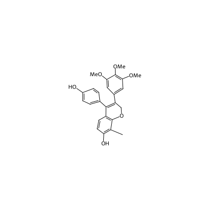 COc1cc(C2=C(c3ccc(O)cc3)c3ccc(O)c(C)c3OC2)cc(OC)c1OC